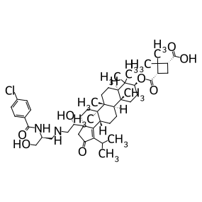 CC(C)C1=C2[C@H]3CC[C@@H]4[C@@]5(C)CC[C@H](OC(=O)[C@H]6C[C@@H](C(=O)O)C6(C)C)C(C)(C)[C@@H]5CC[C@@]4(C)[C@]3(C)CC[C@@]2([C@@H](O)CNC[C@@H](CO)NC(=O)c2ccc(Cl)cc2)CC1=O